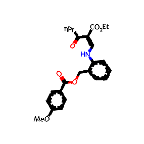 CCCC(=O)C(=CNc1ccccc1COC(=O)c1ccc(OC)cc1)C(=O)OCC